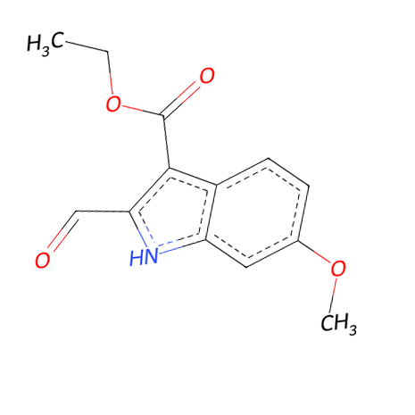 CCOC(=O)c1c(C=O)[nH]c2cc(OC)ccc12